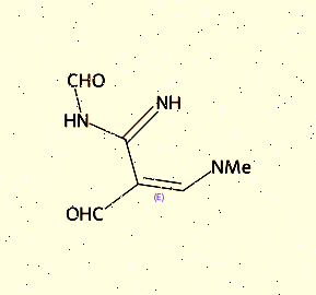 CN/C=C(/C=O)C(=N)NC=O